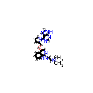 CN(C)CCNc1ncc(OCC2CCCN2c2ncnc3[nH]cnc23)c2ccccc12